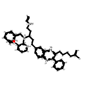 C=CNCCC(CCc1ccc2nc(-c3ccccc3)c(CCCCC(=C)C)nc2c1)N(Cc1ccccn1)c1ncccc1N=C